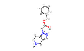 CN1CCc2c(cnn2CC(=O)OCc2ccccc2)C1